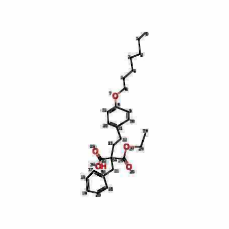 CCCCCCCOc1ccc(CCC(Cc2ccccc2)(C(=O)O)C(=O)OCC)cc1